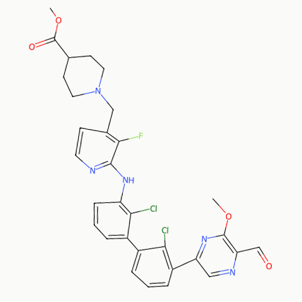 COC(=O)C1CCN(Cc2ccnc(Nc3cccc(-c4cccc(-c5cnc(C=O)c(OC)n5)c4Cl)c3Cl)c2F)CC1